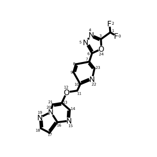 FC(F)c1nnc(-c2ccc(COc3cnc4ccnn4c3)nc2)o1